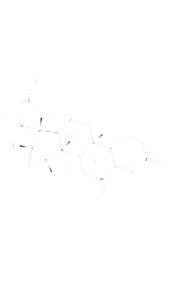 C=C1C[C@@H]2[C@H](CC[C@@]3(C)[C@H]2[C@@H]2C[C@@H]2[C@]3(OC(C)=O)C(C)=O)[C@H]2CCC(=O)C=C12